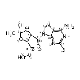 CC1(C)OC2C(O1)[C@H](n1cnc3c(N)nc(I)nc31)O[C@@H]2OO